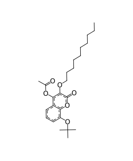 CCCCCCCCCCOc1c(OC(C)=O)c2cccc(OC(C)(C)C)c2oc1=O